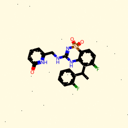 CC(c1ccccc1F)c1c(F)ccc2c1NC(NCc1cccc(=O)[nH]1)=NS2(=O)=O